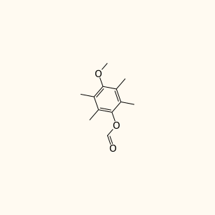 COc1c(C)c(C)c(OC=O)c(C)c1C